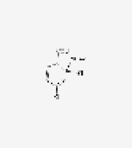 CC(=O)NC1(Cl)C=C(Cl)C=CC1C(=O)O